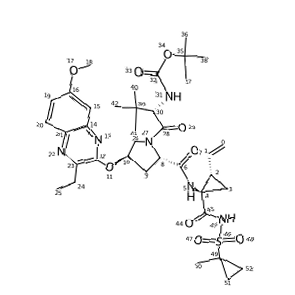 C=C[C@@H]1C[C@]1(NC(=O)[C@@H]1C[C@@H](Oc2nc3cc(OC)ccc3nc2CC)CN1C(=O)[C@@H](NC(=O)OC(C)(C)C)C(C)(C)C)C(=O)NS(=O)(=O)C1(C)CC1